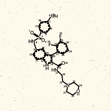 CC(C)(C)c1ccc(S(=O)(=O)Nc2ccc3[nH]c(C(=O)NCCN4CCOCC4)c(-c4cccc(F)c4F)c3c2)cc1